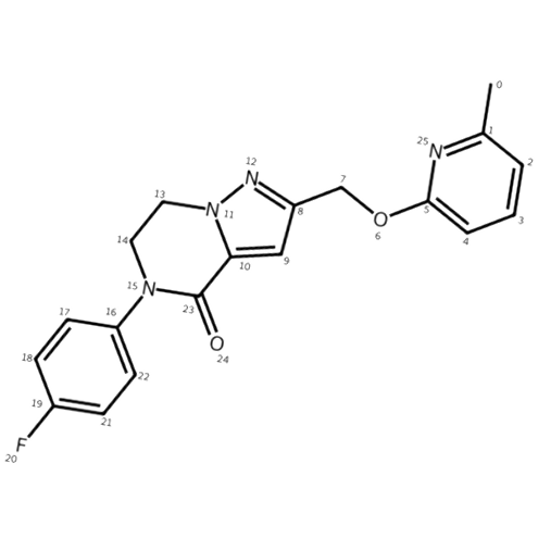 Cc1cccc(OCc2cc3n(n2)CCN(c2ccc(F)cc2)C3=O)n1